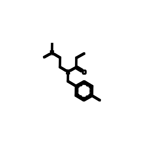 CCC(=O)N(CCN(C)C)Cc1ccc(C)cc1